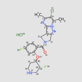 Cc1nc2c3c(nn2c(C)c1Cl)CN(C(=O)c1ccc(F)cc1O[C@@H]1CCNC[C@H]1F)C3.Cl